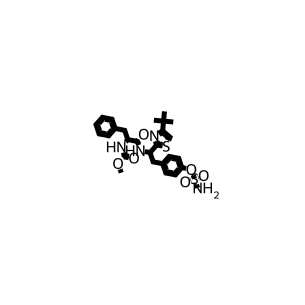 COC(=O)NC(Cc1ccccc1)C(=O)NC(Cc1ccc(OS(N)(=O)=O)cc1)c1nc(C(C)(C)C)cs1